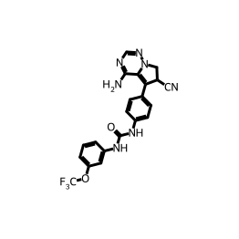 N#CC1CN2N=CN=C(N)C2=C1c1ccc(NC(=O)Nc2cccc(OC(F)(F)F)c2)cc1